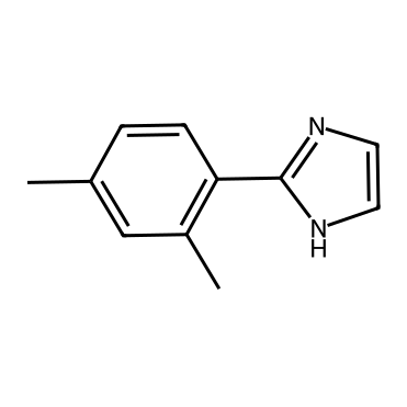 Cc1ccc(-c2ncc[nH]2)c(C)c1